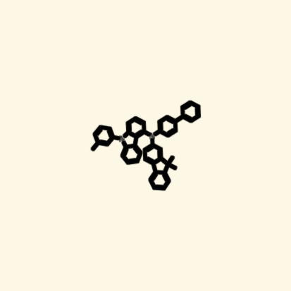 Cc1cccc(-n2c3ccccc3c3c(N(c4ccc(-c5ccccc5)cc4)c4ccc5c(c4)C(C)(C)c4ccccc4-5)cccc32)c1